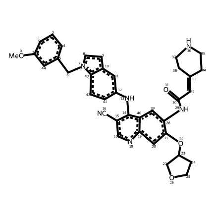 COc1cccc(Cn2ccc3cc(Nc4c(C#N)cnc5cc(OC6CCOC6)c(NC(=O)C=C6CCNCC6)cc45)ccc32)c1